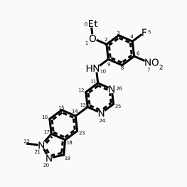 CCOc1cc(F)c([N+](=O)[O-])cc1Nc1cc(-c2ccc3c(cnn3C)c2)ncn1